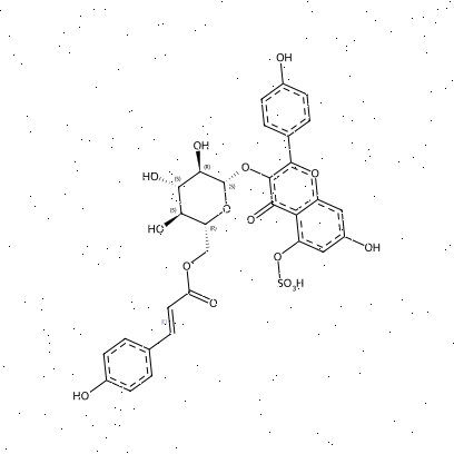 O=C(/C=C/c1ccc(O)cc1)OC[C@H]1O[C@@H](Oc2c(-c3ccc(O)cc3)oc3cc(O)cc(OS(=O)(=O)O)c3c2=O)[C@H](O)[C@@H](O)[C@@H]1O